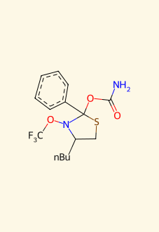 CCCCC1CSC(OC(N)=O)(c2ccccc2)N1OC(F)(F)F